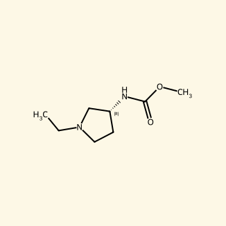 CCN1CC[C@@H](NC(=O)OC)C1